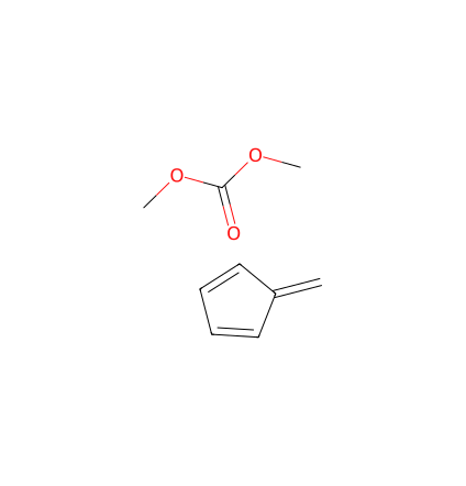 C=C1C=CC=C1.COC(=O)OC